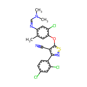 Cc1cc(Oc2snc(-c3ccc(Cl)cc3Cl)c2C#N)c(Cl)cc1/N=C\N(C)C